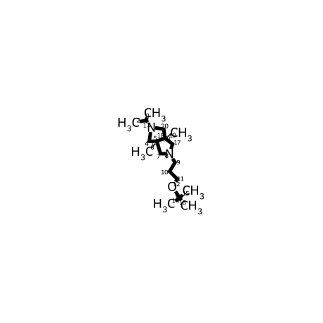 CC(C)N1C[C@]2(C)CN(CCCOC(C)(C)C)C[C@]2(C)C1